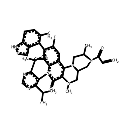 C=CC(=O)N1CC2CN(C)c3c(c4cc(F)c(-c5c(C)ccc6[nH]ncc56)c(Cl)c4n(-c4c(C(C)C)ncnc4C(C)C)c3=O)N2CC1C